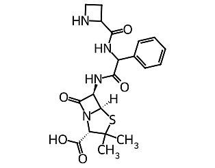 CC1(C)S[C@@H]2[C@H](NC(=O)C(NC(=O)C3CCN3)c3ccccc3)C(=O)N2[C@H]1C(=O)O